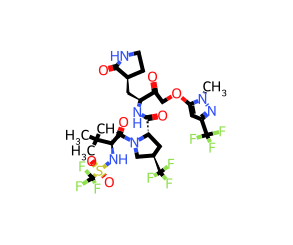 Cn1nc(C(F)(F)F)cc1OCC(=O)[C@H](C[C@@H]1CCNC1=O)NC(=O)[C@@H]1C[C@@H](C(F)(F)F)CN1C(=O)[C@@H](NS(=O)(=O)C(F)(F)F)C(C)(C)C